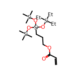 C=CC(=O)OCCC[Si](O[Si](C)(C)C)(O[Si](C)(C)C)O[Si](CC)(CC)CC